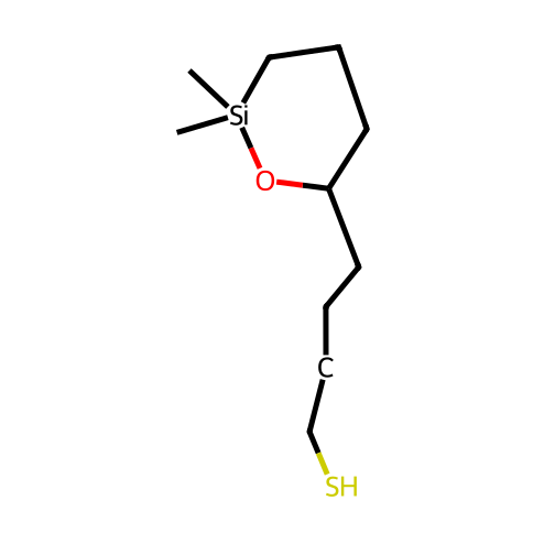 C[Si]1(C)CCCC(CCCCS)O1